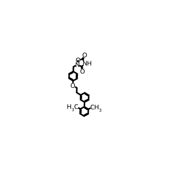 Cc1cccc(C)c1-c1cccc(CCOc2ccc(Cn3oc(=O)[nH]c3=O)cc2)c1